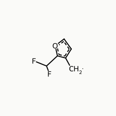 [CH2]c1ccoc1C(F)F